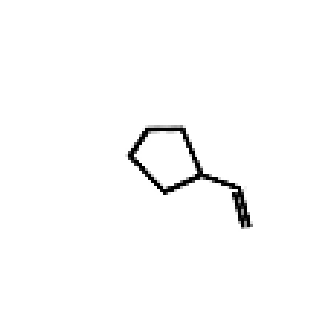 C=[C]C1CCCC1